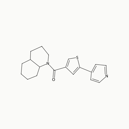 O=C(c1csc(-c2ccncc2)c1)N1CCCC2CCCCC21